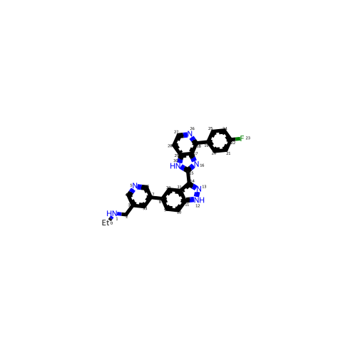 CCNCc1cncc(-c2ccc3[nH]nc(-c4nc5c(-c6ccc(F)cc6)nccc5[nH]4)c3c2)c1